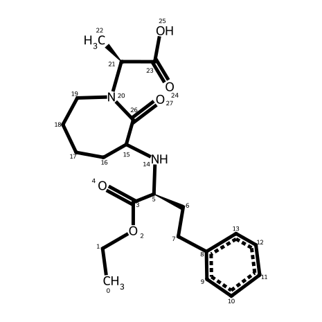 CCOC(=O)[C@H](CCc1ccccc1)NC1CCCCN([C@@H](C)C(=O)O)C1=O